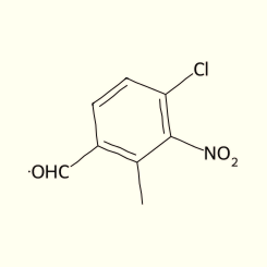 Cc1c([C]=O)ccc(Cl)c1[N+](=O)[O-]